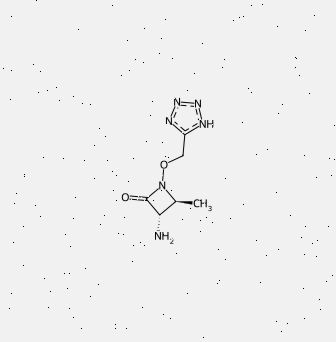 C[C@H]1[C@H](N)C(=O)N1OCc1nnn[nH]1